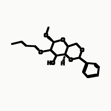 CCCCOC1C(O)[C@@H]2OC(c3ccccc3)OCC2O[C@@H]1OC